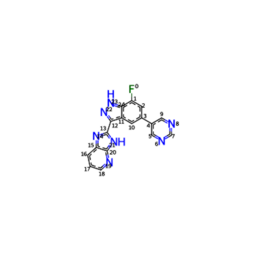 Fc1cc(-c2cncnc2)cc2c(-c3nc4cccnc4[nH]3)n[nH]c12